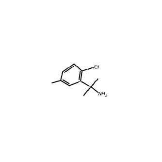 Cc1ccc(Cl)c(C(C)(C)N)c1